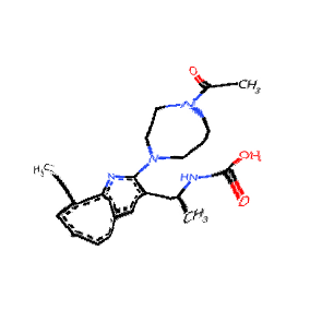 CC(=O)N1CCN(c2nc3c(C)cccc3cc2C(C)NC(=O)O)CC1